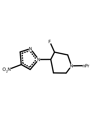 CCCN1CCC(n2cc([N+](=O)[O-])cn2)C(F)C1